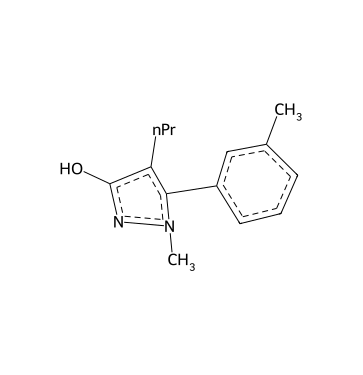 CCCc1c(O)nn(C)c1-c1cccc(C)c1